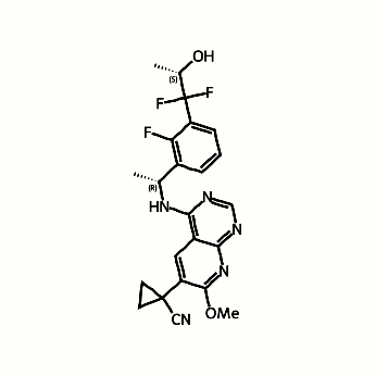 COc1nc2ncnc(N[C@H](C)c3cccc(C(F)(F)[C@H](C)O)c3F)c2cc1C1(C#N)CC1